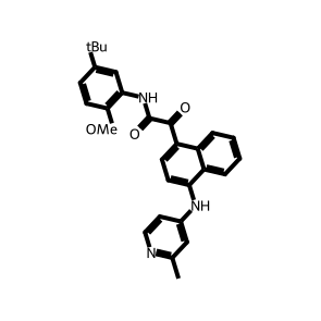 COc1ccc(C(C)(C)C)cc1NC(=O)C(=O)c1ccc(Nc2ccnc(C)c2)c2ccccc12